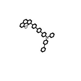 c1ccc(-c2ccc(N(c3ccccc3)c3ccc(-c4ccc(-c5ccc(-c6ccc7ccc8cccc9oc6c7c89)cc5)cc4)cc3)cc2)cc1